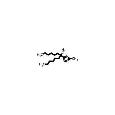 CCCCCCC(C)(CCCCCC)c1nsc(C)n1